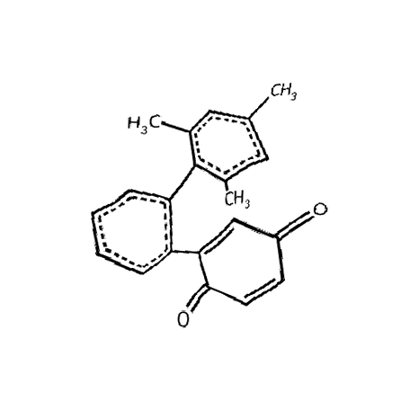 Cc1cc(C)c(-c2ccccc2C2=CC(=O)C=CC2=O)c(C)c1